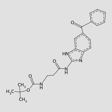 CC(C)(C)OC(=O)NCCC(=O)Nc1nc2ccc(C(=O)c3ccccc3)cc2[nH]1